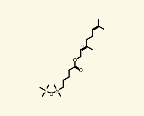 CC(C)=CCC/C(C)=C/COC(=O)CCCC[Si](C)(C)O[Si](C)(C)C